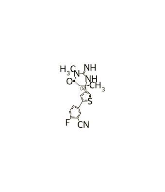 CN1C(=N)N[C@](C)(c2csc(-c3ccc(F)c(C#N)c3)c2)CC1=O